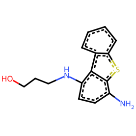 Nc1ccc(NCCCO)c2c1sc1ccccc12